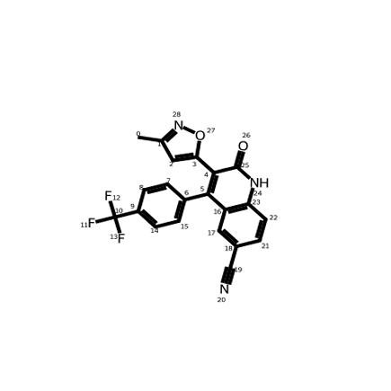 Cc1cc(-c2c(-c3ccc(C(F)(F)F)cc3)c3cc(C#N)ccc3[nH]c2=O)on1